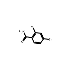 CCc1ccc(C(N)=O)c(Cl)c1